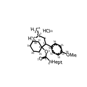 CCCCCCCC(=O)OC1(C(CN(C)C)c2ccc(OC)cc2)CCCCC1.Cl